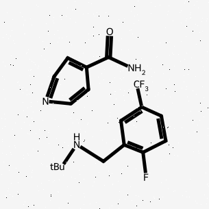 CC(C)(C)NCc1cc(C(F)(F)F)ccc1F.NC(=O)c1ccncc1